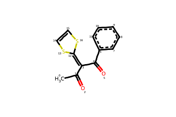 CC(=O)C(C(=O)c1ccccc1)=C1SC=CS1